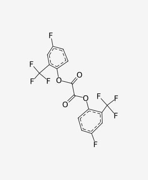 O=C(Oc1ccc(F)cc1C(F)(F)F)C(=O)Oc1ccc(F)cc1C(F)(F)F